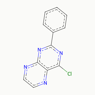 Clc1nc(-c2ccccc2)nc2nccnc12